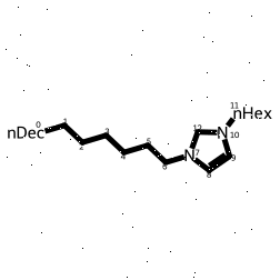 CCCCCCCCCCCCCCCCN1C=CN(CCCCCC)C1